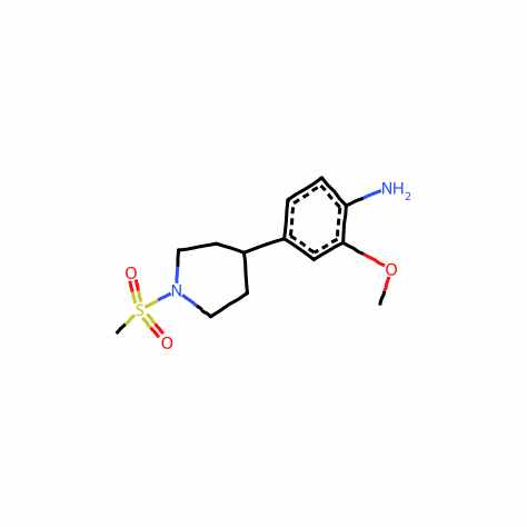 COc1cc(C2CCN(S(C)(=O)=O)CC2)ccc1N